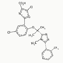 Cn1c(-c2ccccc2C(F)(F)F)nnc1C(C)(C)Oc1ccc(Cl)cc1-c1nc(C(=O)O)c(Cl)o1